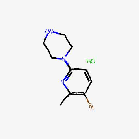 Cc1nc(N2CCNCC2)ccc1Br.Cl